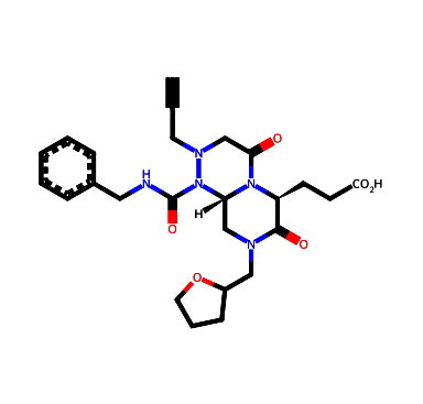 C#CCN1CC(=O)N2[C@@H](CCC(=O)O)C(=O)N(CC3CCCO3)C[C@@H]2N1C(=O)NCc1ccccc1